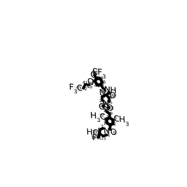 Cc1cc(C(=O)N2CCC(O)(CF)CC2)cc(C)c1/C=C/S(=O)(=O)N1CCC2(CC1)N=C(c1ccc(OC(F)(F)F)c(OCCCC(F)(F)F)c1)NC2=O